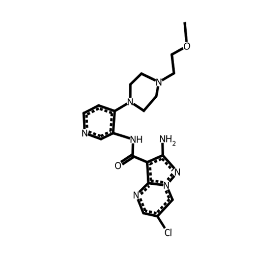 COCCN1CCN(c2ccncc2NC(=O)c2c(N)nn3cc(Cl)cnc23)CC1